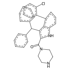 O=C(c1[nH]c2cccc(-c3ccccc3Cl)c2c1C(c1ccccc1)c1ccccc1)N1CCNCC1